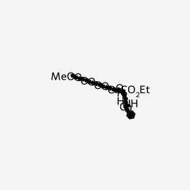 CCOC(=O)C(CCCCNC(=O)OCc1ccccc1)NC(=O)CCOCCOCCOCCOCCOCCOCCOC